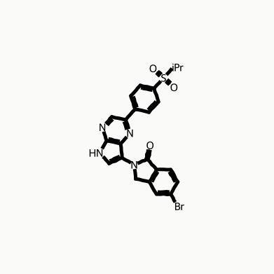 CC(C)S(=O)(=O)c1ccc(-c2cnc3[nH]cc(N4Cc5cc(Br)ccc5C4=O)c3n2)cc1